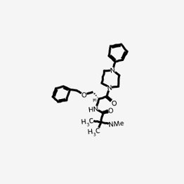 CNC(C)(C)C(=O)N[C@H](COCc1ccccc1)C(=O)N1CCN(c2ccccc2)CC1